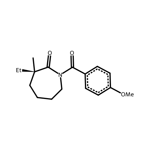 CC[C@]1(C)CCCCN(C(=O)c2ccc(OC)cc2)C1=O